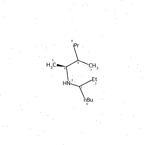 CCCCC(CC)N[C@@H](C)C(C)C(C)C